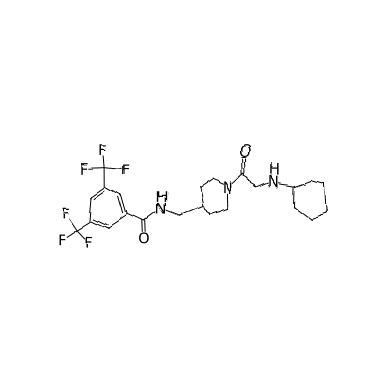 O=C(NCC1CCN(C(=O)CNC2CCCCC2)CC1)c1cc(C(F)(F)F)cc(C(F)(F)F)c1